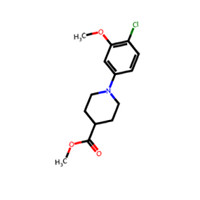 COC(=O)C1CCN(c2ccc(Cl)c(OC)c2)CC1